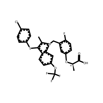 Cc1c(Sc2ccc(Cl)cc2)c2ccc(OC(F)(F)F)cc2n1Cc1cc(O[C@H](C)C(=O)O)ccc1F